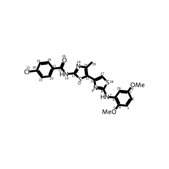 COc1ccc(OC)c(Nc2nc(-c3sc(NC(=O)c4ccc(Cl)cc4)nc3C)cs2)c1